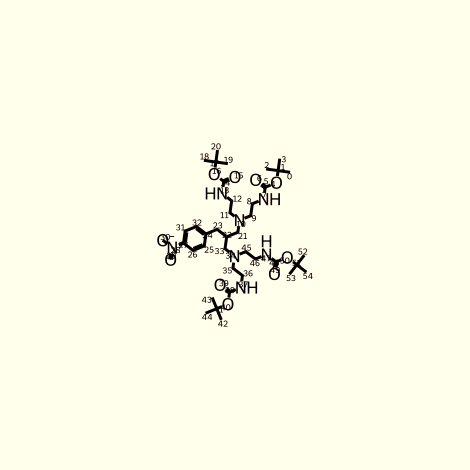 CC(C)(C)OC(=O)NCCN(CCNC(=O)OC(C)(C)C)CC(Cc1ccc([N+](=O)[O-])cc1)CN(CCNC(=O)OC(C)(C)C)CCNC(=O)OC(C)(C)C